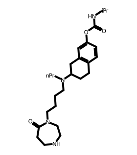 CCCN(CCCCN1CCNCCC1=O)C1CCc2ccc(OC(=O)NC(C)C)cc2C1